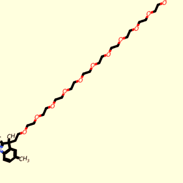 COCCOCCOCCOCCOCCOCCOCCOCCOCCOCCOCCC1(C)C(C)=Nc2ccc(C)cc21